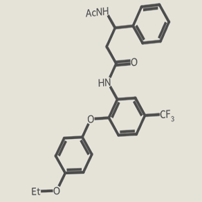 CCOc1ccc(Oc2ccc(C(F)(F)F)cc2NC(=O)CC(NC(C)=O)c2ccccc2)cc1